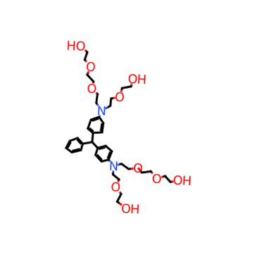 OCCOCCOCCN(CCOCCO)c1ccc(C(c2ccccc2)c2ccc(N(CCOCCO)CCOCCOCCO)cc2)cc1